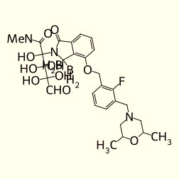 BC1(B)c2c(OCc3cccc(CN4CC(C)OC(C)C4)c3F)cccc2C(=O)N1C(O)(C(=O)NC)C(O)(O)C(O)(O)C=O